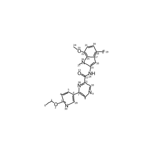 CCOc1ccc(-c2cncc(C(=O)Nc3cc4c(F)ccc(OC)c4n3C)n2)cn1